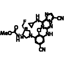 COC(=O)N[C@H]1CN(c2cc(C#N)cc(Nc3nc(NC4CC4)c4ncc(C#N)n4n3)c2Cl)C[C@H]1CF